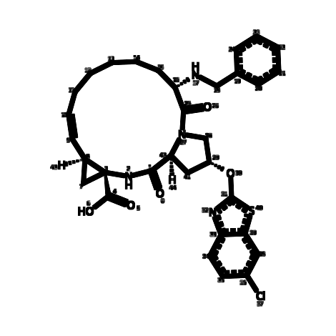 O=C1N[C@]2(C(=O)O)C[C@H]2/C=C\CCCCC[C@H](NCc2ccccc2)C(=O)N2C[C@H](Oc3nc4ccc(Cl)cc4s3)C[C@@H]12